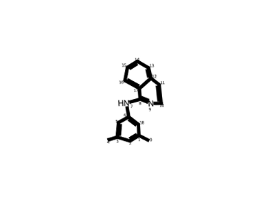 Cc1cc(C)cc(Nc2nccc3ccccc23)c1